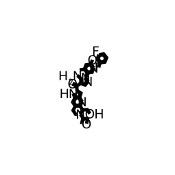 Cc1cc(Oc2c(F)cccc2F)ncc1-n1ncc(C(=O)c2cc3nc4c(cc3[nH]2)CCN(C2COC2)C4CO)c1N